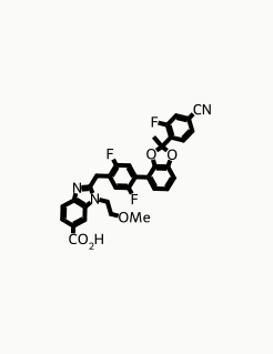 COCCn1c(Cc2cc(F)c(-c3cccc4c3OC(C)(c3ccc(C#N)cc3F)O4)cc2F)nc2ccc(C(=O)O)cc21